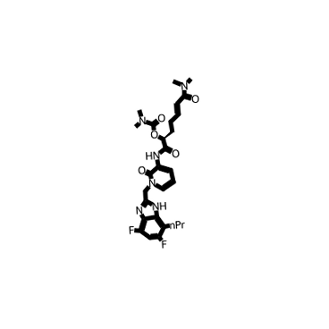 CCCc1c(F)cc(F)c2nc(Cn3cccc(NC(=O)[C@H](CC/C=C/C(=O)N(C)C)OC(=O)N(C)C)c3=O)[nH]c12